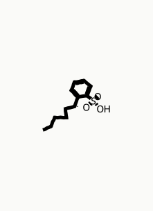 CCCCC[CH]c1ccccc1S(=O)(=O)O